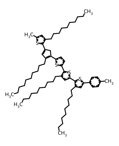 CCCCCCCCCCC1=C(c2ccc(-c3sc(-c4sc(-c5ccc(C)cc5)cc4CCCCCCCCCC)cc3CCCCCCCCCC)s2)CC(c2sc(C)cc2CCCCCCCCCC)=C1